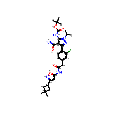 CC(C)n1nc(-c2ccc(CC(=O)Nc3cc(C4CC(C)(C)C4)no3)cc2F)c(C(N)=O)c1NC(=O)OC(C)(C)C